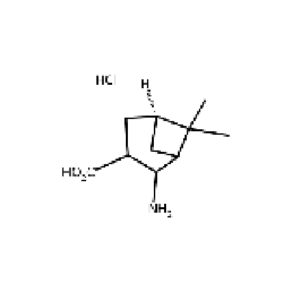 CC1(C)C2C[C@H]1CC(C(=O)O)C2N.Cl